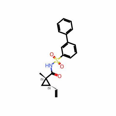 C=C[C@@H]1C[C@]1(C)C(=O)NS(=O)(=O)c1cccc(-c2ccccc2)c1